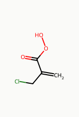 C=C(CCl)C(=O)OO